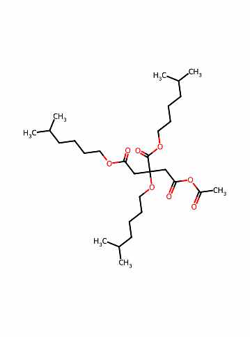 CC(=O)OC(=O)CC(CC(=O)OCCCCC(C)C)(OCCCCC(C)C)C(=O)OCCCCC(C)C